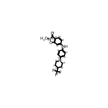 Cn1oc2cc(Nc3ccc(N4CCC(C(F)(F)F)CC4)cc3)ccc2c1=O